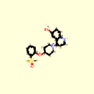 C[SH](C)(=O)c1ccccc1OC1CCN(c2ccnc3ccc(Br)cc23)CC1